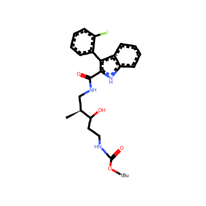 C[C@@H](CNC(=O)c1[nH]c2ccccc2c1-c1ccccc1F)C(O)CCNC(=O)OC(C)(C)C